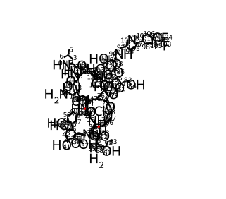 CN[C@H](CC(C)C)C(=O)NC1C(=O)NC(CC(N)=O)C(=O)N[C@H]2C(=O)N[C@H]3C(=O)N[C@H](C(=O)N[C@H](C(=O)O)c4cc(O)cc(O)c4-c4cc3ccc4O)[C@H](O[C@H]3C[C@](C)(N)[C@@H](O)[C@H](C)O3)c3ccc(c(Cl)c3)Oc3cc2cc(c3O[C@@H]2O[C@H](CO)[C@@H](O[C@@H]3O[C@H](CNCc4ccc(-c5ccc(OC(F)(F)F)cc5)nc4)[C@H](O)[C@H](O)[C@H]3O)[C@H](O)[C@H]2O)Oc2ccc(cc2Cl)[C@H]1O